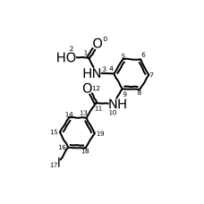 O=C(O)Nc1ccccc1NC(=O)c1ccc(I)cc1